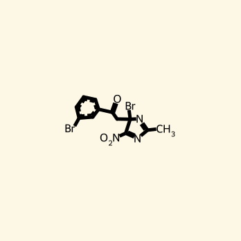 CC1=NC(Br)(CC(=O)c2cccc(Br)c2)C([N+](=O)[O-])=N1